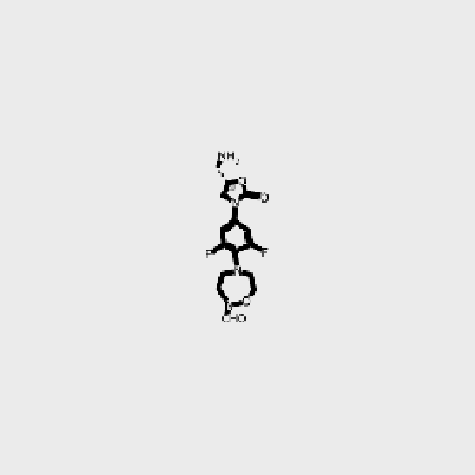 NC[C@H]1CN(c2cc(F)c(N3CCON(C=O)CC3)c(F)c2)C(=O)O1